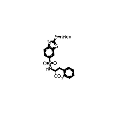 CCCCCCSc1nc2ccc(S(=O)(=O)N[C@H](Cc3ccccc3)C(=O)O)cc2s1